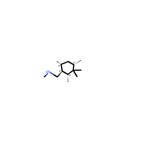 CNC[C@H]1[C@H](C)C[C@H](C)C(C)(C)[C@@H]1C